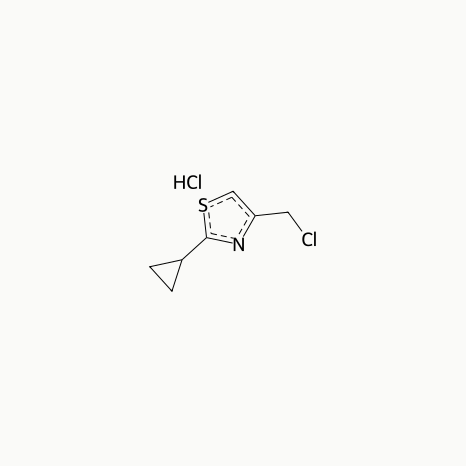 Cl.ClCc1csc(C2CC2)n1